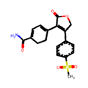 CS(=O)(=O)c1ccc(C2=C(C3=CC=C(C(N)=O)CC3)C(=O)OC2)cc1